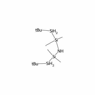 CC(C)(C)[SiH2][Si](C)(C)N[Si](C)(C)[SiH2]C(C)(C)C